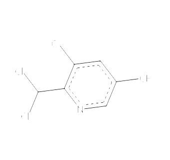 FC(F)(F)c1cnc(C(Cl)Cl)c(Cl)c1